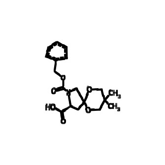 CC1(C)COC2(C[C@@H](C(=O)O)N(C(=O)OCc3ccccc3)C2)OC1